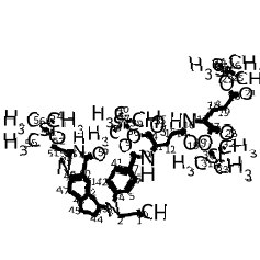 C#CCN(c1ccc(C(=O)NC(CCC(=O)NC(CCC(=O)O[Si](C)(C)C)C(=O)O[Si](C)(C)C)C(=O)O[Si](C)(C)C)cc1)C1CCc2cc3nc(CO[Si](C)(C)C)[nH]c(=O)c3cc21